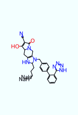 CCCCC1NC2=C(CN3C(=O)C(C#N)=C(O)C3C2)N1Cc1ccc(-c2ccccc2-c2nnn[nH]2)cc1.[NaH].[NaH]